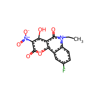 CCn1c(=O)c2c(O)c([N+](=O)[O-])c(=O)oc2c2cc(F)ccc21